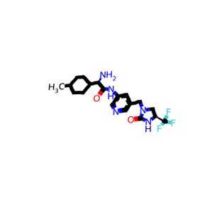 CC1CCC([C@@H](N)C(=O)Nc2cncc(CN3C[C@@H](C(F)(F)F)NC3=O)c2)CC1